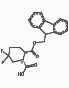 O=C(O)[C@@H]1CC(F)(F)CCN1C(=O)OCC1c2ccccc2-c2ccccc21